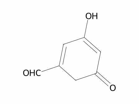 O=CC1=CC(O)=CC(=O)C1